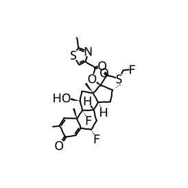 CC1=C[C@@]2(C)C(=CC1=O)[C@@H](F)C[C@H]1[C@@H]3C[C@@H](C)[C@@](OC(=O)c4csc(C)n4)(C(=O)SCF)[C@@]3(C)C[C@H](O)[C@@]12F